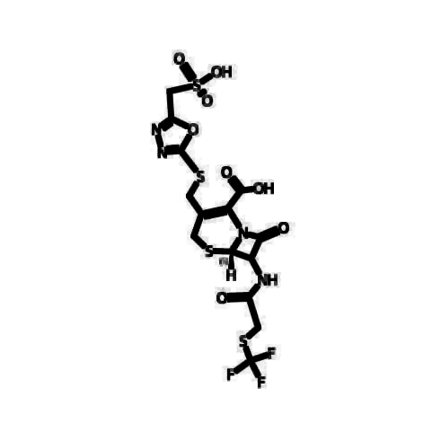 O=C(CSC(F)(F)F)NC1C(=O)N2C(C(=O)O)=C(CSc3nnc(CS(=O)(=O)O)o3)CS[C@@H]12